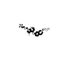 C[Si](C)(C)CCOCn1cc(I)c2c(Oc3ccc4c(c3)CN(C(=O)O)CC4)ccnc21